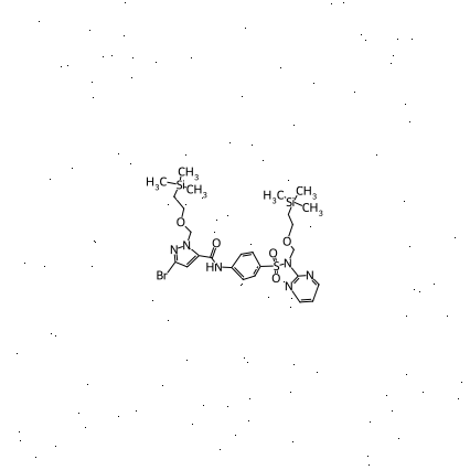 C[Si](C)(C)CCOCN(c1ncccn1)S(=O)(=O)c1ccc(NC(=O)c2cc(Br)nn2COCC[Si](C)(C)C)cc1